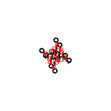 CC(CCCOc1ccccc1)(CCOc1ccccc1)C(OO)(OOC(OO)(C(C)(CCCOc1ccccc1)CCOc1ccccc1)C(C)(CCCOc1ccccc1)CCOc1ccccc1)C(C)(CCCOc1ccccc1)CCOc1ccccc1